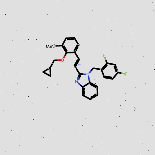 COc1cccc(/C=C/c2nc3ccccc3n2Cc2ccc(F)cc2F)c1OCC1CC1